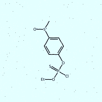 CCOP(=S)(Cl)Oc1ccc([S+](C)[O-])cc1